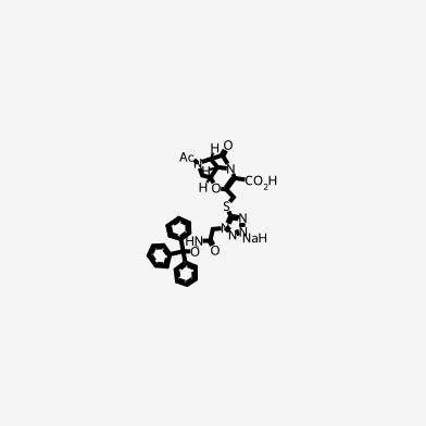 CC(=O)N1C[C@H]2OC(CSc3nnnn3CC(=O)NOC(c3ccccc3)(c3ccccc3)c3ccccc3)=C(C(=O)O)N3C(=O)[C@@H]1[C@@H]23.[NaH]